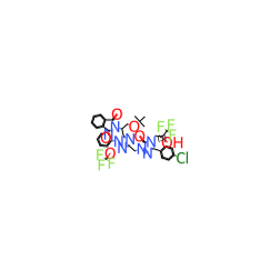 CC(C)(C)OCC(c1nc(Cn2nc(-c3ccc(Cl)cc3)n(C[C@H](O)C(F)(F)F)c2=O)nn1-c1ncccc1OC(F)(F)F)N1C(=O)c2ccccc2C1=O